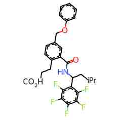 CC(C)CC(NC(=O)c1cc(COc2ccccc2)ccc1CCC(=O)O)c1c(F)c(F)c(F)c(F)c1F